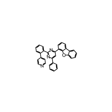 c1ccc(-c2cc(-c3cccc4c3oc3ccccc34)nc(-c3ccccc3-c3ccncc3)n2)cc1